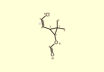 CC1(C)C(/C=C\Cl)C1OC=O